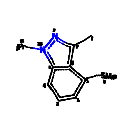 CSc1cccc2c1c(C)nn2C(C)C